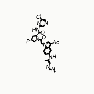 C=N/C=N\C=C(/C)Nc1ccc2c(c1)c(C(C)=O)cn2CC(=O)N1C[C@H](F)C[C@H]1C(=O)Nc1cncc(Cl)n1